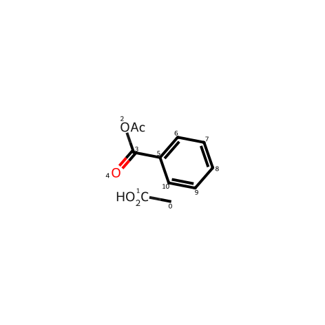 CC(=O)O.CC(=O)OC(=O)c1ccccc1